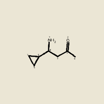 CC(=O)CC(N)C1CC1